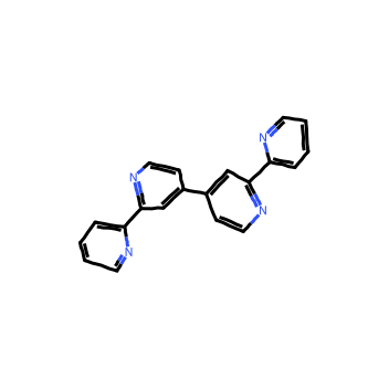 c1ccc(-c2cc(-c3ccnc(-c4ccccn4)c3)ccn2)nc1